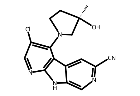 C[C@@]1(O)CCN(c2c(Cl)cnc3[nH]c4cnc(C#N)cc4c23)C1